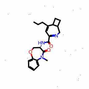 CCCC1=CC(C(=O)N[C@H]2COc3ccccc3N(C)C2=O)=NCC2CCC12